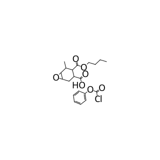 CCCCOC(=O)C1C(C(=O)O)CC2OC2C1C.O=C(Cl)Oc1ccccc1